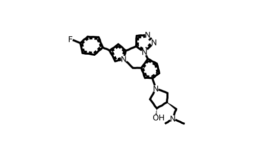 CN(C)C[C@@H]1CN(c2ccc3c(c2)Cn2cc(-c4ccc(F)cc4)cc2-c2cnnn2-3)C[C@H]1O